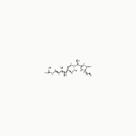 CC1CN(C(=O)c2ccc(NC(=O)/C=C/CN(C)C)cc2)CC1N